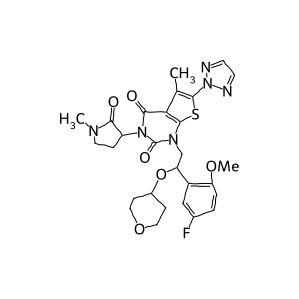 COc1ccc(F)cc1C(Cn1c(=O)n(C2CCN(C)C2=O)c(=O)c2c(C)c(-n3nccn3)sc21)OC1CCOCC1